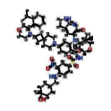 CC(C)c1ccccc1[C@@H]1COCCN1C1CC2(CCN(c3ccc(C(=O)NS(=O)(=O)c4ccc(NCC5CCC(C)(O)CC5)c([N+](=O)[O-])c4)c(N4c5cc6cc[nH]c6nc5OC[C@@H]5COCC[C@H]54)c3)CC2)C1